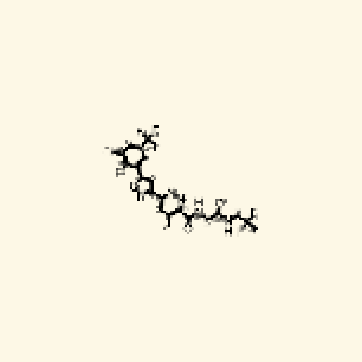 Cc1cc(C2=NOC(c3cc(C(F)(F)F)cc(Cl)c3F)C2)nnc1C(=O)NCC(=O)NCC(F)(F)F